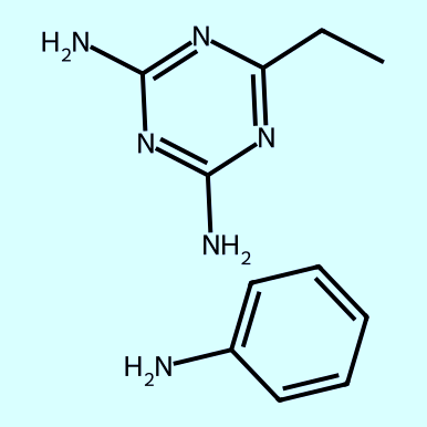 CCc1nc(N)nc(N)n1.Nc1ccccc1